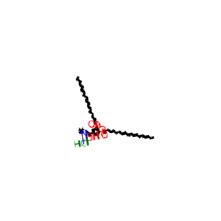 CCCCCCCCC=CCCCCCCCC(=O)Oc1ccc(C(O)CNC(C)(C)C)cc1OC(=O)CCCCCCCC=CCCCCCCCC.Cl